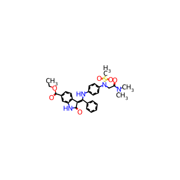 CCOC(=O)c1ccc2c(c1)NC(=O)C2=C(Nc1ccc(N(CC(=O)N(C)C)S(C)(=O)=O)cc1)c1ccccc1